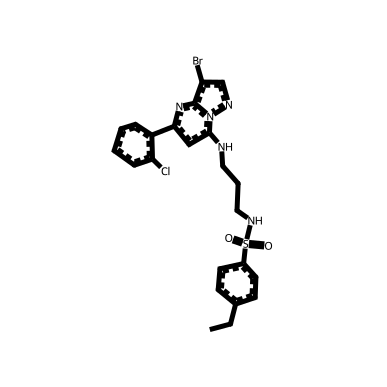 CCc1ccc(S(=O)(=O)NCCCNc2cc(-c3ccccc3Cl)nc3c(Br)cnn23)cc1